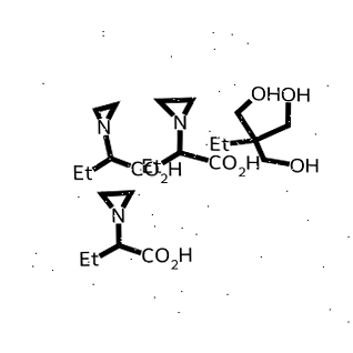 CCC(C(=O)O)N1CC1.CCC(C(=O)O)N1CC1.CCC(C(=O)O)N1CC1.CCC(CO)(CO)CO